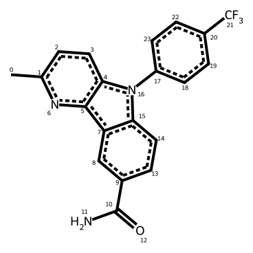 Cc1ccc2c(n1)c1cc(C(N)=O)ccc1n2-c1ccc(C(F)(F)F)cc1